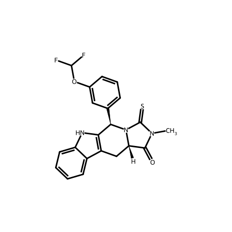 CN1C(=O)[C@@H]2Cc3c([nH]c4ccccc34)[C@@H](c3cccc(OC(F)F)c3)N2C1=S